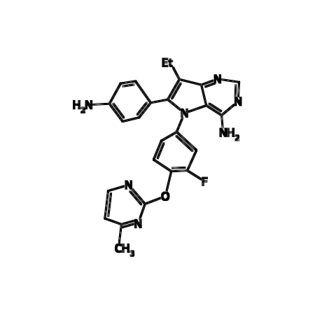 CCc1c(-c2ccc(N)cc2)n(-c2ccc(Oc3nccc(C)n3)c(F)c2)c2c(N)ncnc12